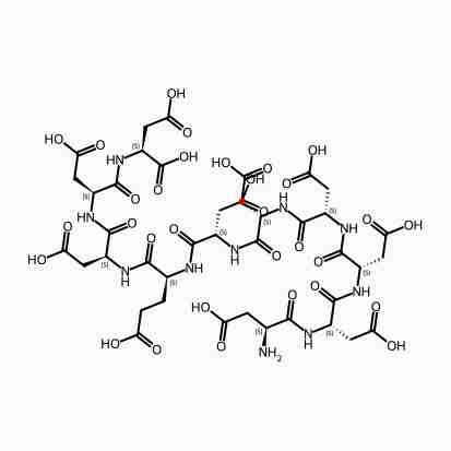 N[C@@H](CC(=O)O)C(=O)N[C@@H](CC(=O)O)C(=O)N[C@@H](CC(=O)O)C(=O)N[C@@H](CC(=O)O)C(=O)N[C@@H](CC(=O)O)C(=O)N[C@@H](CC(=O)O)C(=O)N[C@@H](CCC(=O)O)C(=O)N[C@@H](CC(=O)O)C(=O)N[C@@H](CC(=O)O)C(=O)N[C@@H](CC(=O)O)C(=O)O